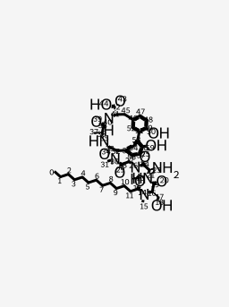 CCCCCCCCCCCCC(=O)N(C)[C@H](CO)C(=O)N[C@H](N)C(=O)NCC(=O)N(C)[C@@H]1C(=O)N[C@@H](C)C(=O)N[C@H](C(=O)O)Cc2ccc(O)c(c2)-c2cc1ccc2O